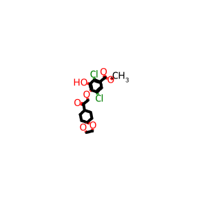 COC(=O)c1cc(Cl)c(OCC(=O)C2CCC3(CC2)OCCO3)c(O)c1Cl